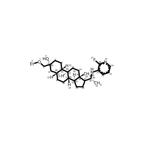 CCOC[C@@]1(O)CC[C@H]2[C@H](CC[C@@H]3[C@@H]2CC[C@]2(C)C([C@@H](C)Nc4cccnc4F)CC[C@@H]32)C1